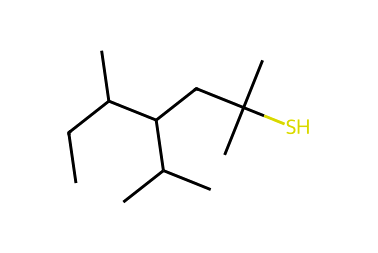 CCC(C)C(CC(C)(C)S)C(C)C